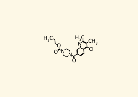 CCCOC(=O)N1CCN(C(=O)c2ccc3c(Cl)c(C)c(C)nc3c2)CC1